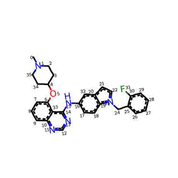 CN1CCC(Oc2cccc3ncnc(Nc4ccc5c(ccn5Cc5ccccc5F)c4)c23)CC1